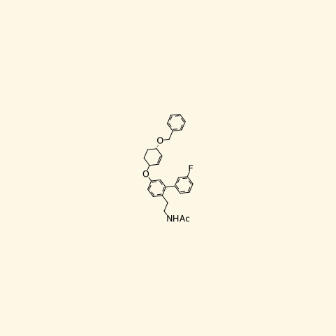 CC(=O)NCCc1ccc(OC2C=C[C@@H](OCc3ccccc3)CC2)cc1-c1cccc(F)c1